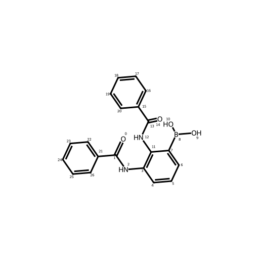 O=C(Nc1cccc(B(O)O)c1NC(=O)c1ccccc1)c1ccccc1